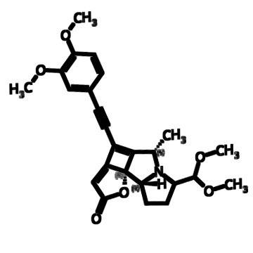 COc1ccc(C#CC2=C3[C@H](C)N4C(C(OC)OC)CC[C@@H]4[C@]34OC(=O)C=C24)cc1OC